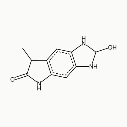 CC1C(=O)Nc2cc3c(cc21)NC(O)N3